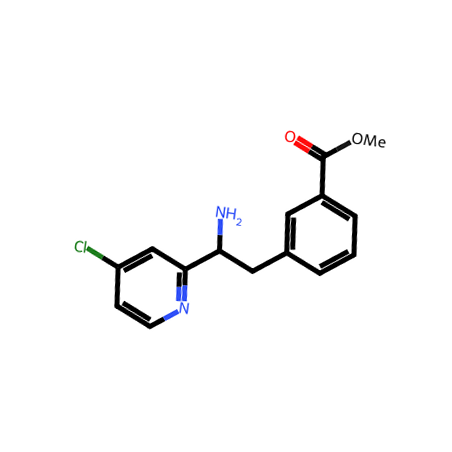 COC(=O)c1cccc(CC(N)c2cc(Cl)ccn2)c1